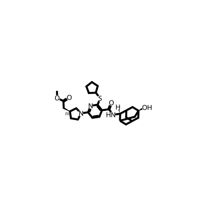 COC(=O)C[C@@H]1CCN(c2ccc(C(=O)N[C@H]3C4CC5CC3C[C@@](O)(C5)C4)c(SC3CCCC3)n2)C1